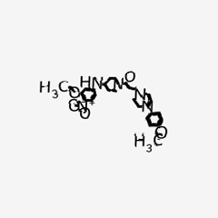 CCOc1cc(NC2CCN(C(=O)CCN3CCN(c4ccc(OC)cc4)CC3)CC2)ccc1[N+](=O)[O-]